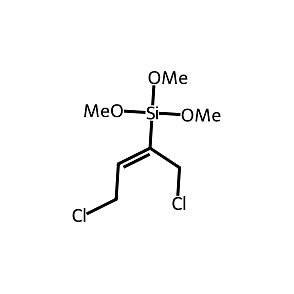 CO[Si](OC)(OC)C(=CCCl)CCl